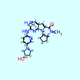 C=C(/N=C1\C(=C/N)C=C(C(=O)N(C)C)N1C1CCCC1)Nc1ccc(N2CC[C@H](O)C2)cn1